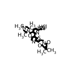 Cc1cc(C#N)nc(-c2ccnc3cc(CN4C(=O)C5C(C4=O)C5(C)C)sc23)c1C(=O)N1CCN(C)C[C@@H]1C.Cl.Cl